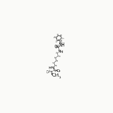 CC(Cl)C(=O)NCCCCCCNC(=O)Nc1ccccc1